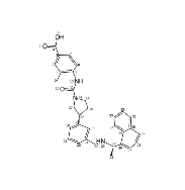 Cc1cc(C(=O)O)ccc1NC(=O)N1CC[C@@H](c2cccc(CN[C@H](C)c3cccc4ccccc34)c2)C1